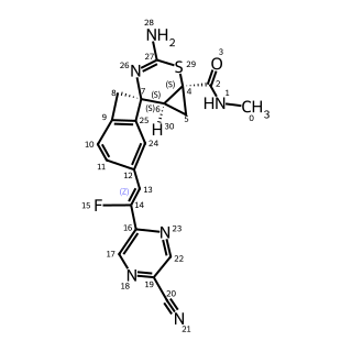 CNC(=O)[C@]12C[C@H]1[C@]1(Cc3ccc(/C=C(\F)c4cnc(C#N)cn4)cc31)N=C(N)S2